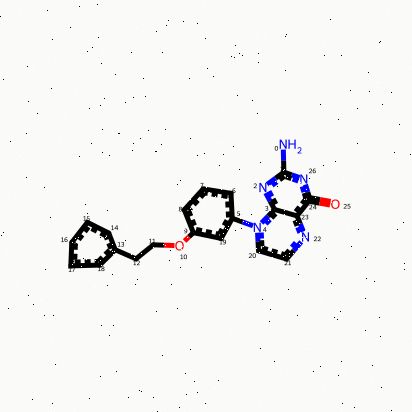 Nc1nc2n(-c3cccc(OCCc4ccccc4)c3)ccnc-2c(=O)n1